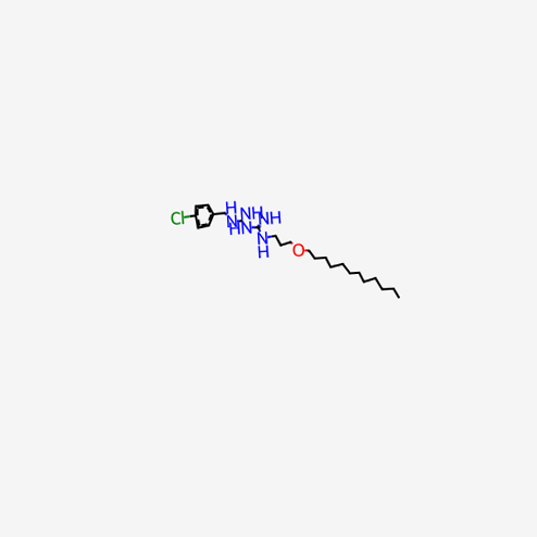 CCCCCCCCCCCCOCCCNC(=N)NC(=N)NCc1ccc(Cl)cc1